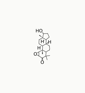 CC1(C)C(=O)C2OC2[C@@]2(C)C1CC[C@@H]1[C@@H]2CC[C@]2(C)[C@@H](O)CC[C@@H]12